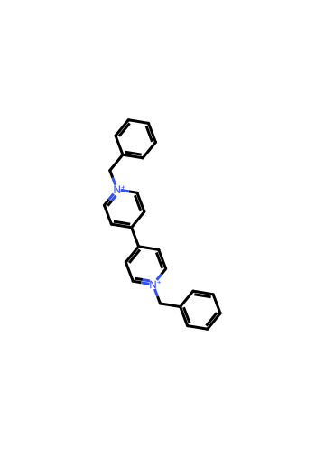 c1ccc(C[n+]2ccc(-c3cc[n+](Cc4ccccc4)cc3)cc2)cc1